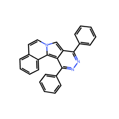 c1ccc(-c2nnc(-c3ccccc3)c3c2cn2ccc4ccccc4c32)cc1